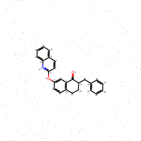 O=C1c2cc(Oc3ccc4ccccc4n3)ccc2CCC1Cc1ccccc1